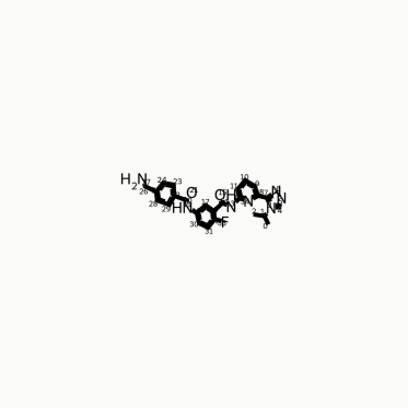 CC(C)n1cnnc1-c1cccc(NC(=O)c2cc(NC(=O)c3ccc(CN)cc3)ccc2F)n1